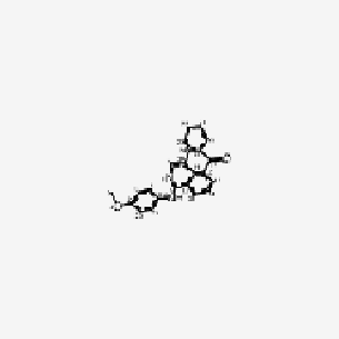 COc1ccc(Nc2ncc3c4c(cccc24)C(=O)c2ccccc2-3)cc1